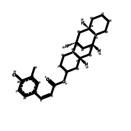 Cc1cc(/C=C\C(=O)OC2CCN3[C@@H]4C[C@@H](C[C@@H]3C2)N2CCCC[C@@H]2C4)ccc1Cl